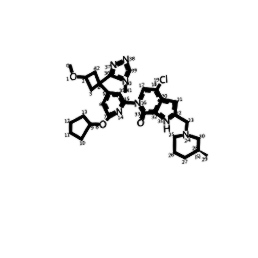 COC1CC(c2cc(OC3CCCC3)nc(-n3cc(Cl)c4cc(CN5CCC[C@H](C)C5)[nH]c4c3=O)c2)(c2nncn2C)C1